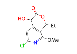 CCC1OC(=O)C(O)c2cc(Cl)nc(OC)c21